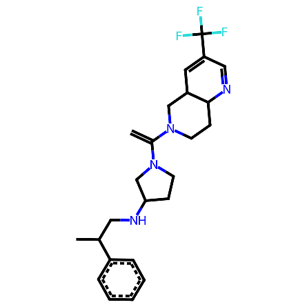 C=C(N1CCC(NCC(C)c2ccccc2)C1)N1CCC2N=CC(C(F)(F)F)=CC2C1